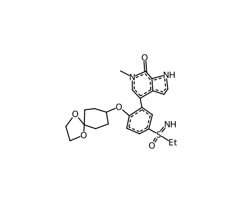 CCS(=N)(=O)c1ccc(OC2CCC3(CC2)OCCO3)c(-c2cn(C)c(=O)c3[nH]ccc23)c1